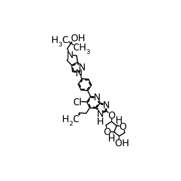 C=CCc1c(Cl)c(-c2ccc(-n3cc4c(n3)CN(CC(C)(C)O)C4)cc2)nc2nc(O[C@@H]3CO[C@H]4[C@@H]3OC[C@H]4O)[nH]c12